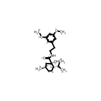 COc1cc(CCNC(=O)[C@]2(O)C[C@H](C)CC[C@H]2C(C)C)cc(OC)c1